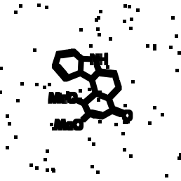 COC1=CC(=O)C2CC=C3NC4C=CC=CC4C3C2C1OC